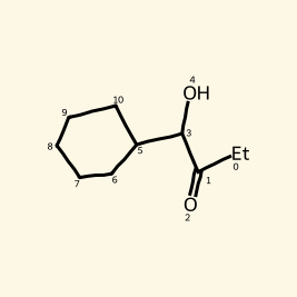 CCC(=O)C(O)C1CCCCC1